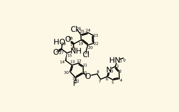 CNc1cccc(CCOc2ccc(C[C@H](NC(=O)c3c(Cl)cccc3Cl)C(=O)O)cc2F)n1